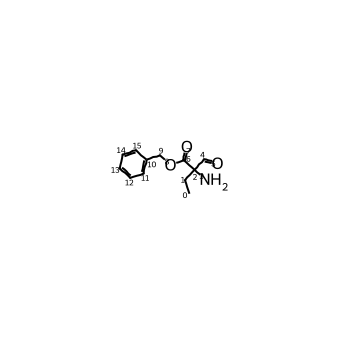 CCC(N)(C=O)C(=O)OCc1ccccc1